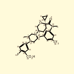 C[C@H]1CN([C@@H]2CC[C@@](C(=O)N(C)c3cc(Cl)cc(C(F)(F)F)c3)(C3CC3)OC2)CCN1c1ccc(F)c(C(=O)O)c1